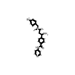 NC(CC(=O)N(F)Cc1ccc(Br)cc1)c1ccc(C(=O)Nc2ccncc2)cc1